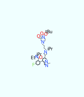 CCN(C(=O)c1cc(F)ccc1-c1cc(C2CN([C@H](CCCN3CCN(C(=O)OC(C)(C)C)C4(COC4)C3)C(C)C)C2)cn2c(C)ncc12)C(C)C